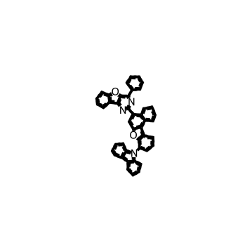 c1ccc(-c2nc(-c3cc4oc5c(-n6c7ccccc7c7ccccc76)cccc5c4c4ccccc34)nc3c2oc2ccccc23)cc1